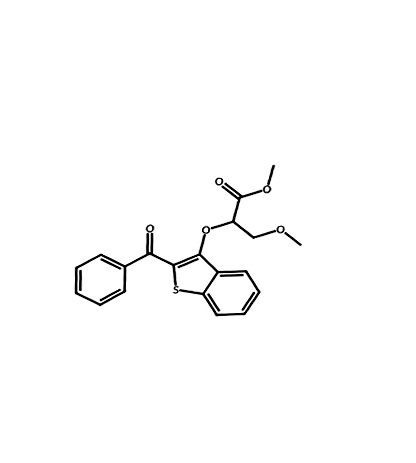 COCC(Oc1c(C(=O)c2ccccc2)sc2ccccc12)C(=O)OC